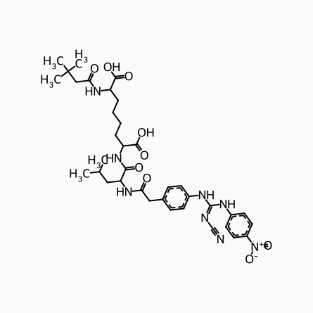 CC(C)CC(NC(=O)Cc1ccc(NC(=NC#N)Nc2ccc([N+](=O)[O-])cc2)cc1)C(=O)NC(CCCCC(NC(=O)CC(C)(C)C)C(=O)O)C(=O)O